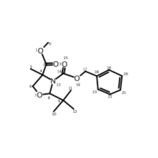 COC(=O)C1(C)COC(C(C)(C)C)N1C(=O)OCc1ccccc1